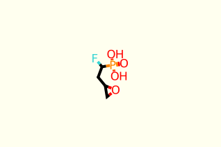 O=P(O)(O)C(F)CC1CO1